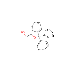 OCCOC(c1ccccc1)(c1ccccc1)c1ccccc1